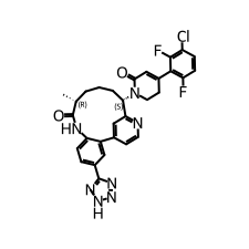 C[C@@H]1CCC[C@H](N2CCC(c3c(F)ccc(Cl)c3F)=CC2=O)c2cc(ccn2)-c2cc(-c3nn[nH]n3)ccc2NC1=O